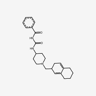 O=C(NC(=O)c1ccccc1)NC1CCN(CC2C=C3CCCCC3=CC2)CC1